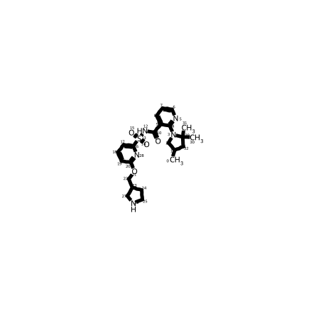 CC1CN(c2ncccc2C(=O)NS(=O)(=O)c2cccc(OCC3CCNC3)n2)C(C)(C)C1